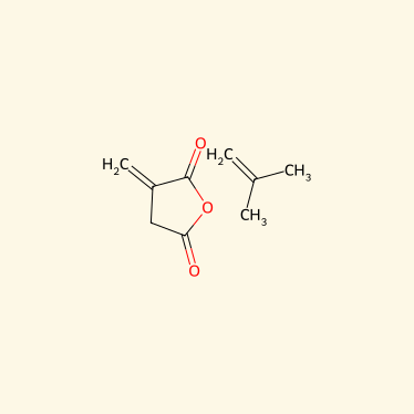 C=C(C)C.C=C1CC(=O)OC1=O